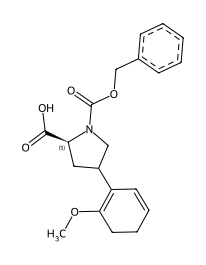 COC1=C(C2C[C@@H](C(=O)O)N(C(=O)OCc3ccccc3)C2)C=CCC1